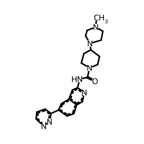 CN1CCN(C2CCN(C(=O)Nc3cc4cc(-c5cccnn5)ccc4cn3)CC2)CC1